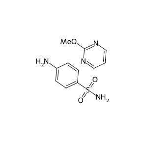 COc1ncccn1.Nc1ccc(S(N)(=O)=O)cc1